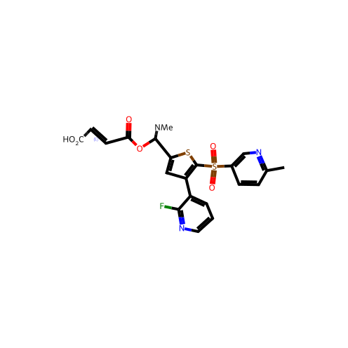 CNC(OC(=O)/C=C/C(=O)O)c1cc(-c2cccnc2F)c(S(=O)(=O)c2ccc(C)nc2)s1